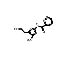 Cc1nc(NC(=O)c2cccnn2)sc1CCO